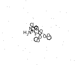 Nc1nc(Cl)c2ccn([C@@H]3O[C@H](COC4CCCCO4)[C@@H](OC4CCCCO4)[C@H]3F)c2n1